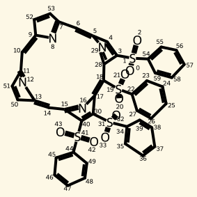 O=S(=O)(C1=CC2=CC3=NC(=CC4=NC(=CC5=NC(=C(S(=O)(=O)c6ccccc6)C1=N2)C(S(=O)(=O)c1ccccc1)=C5S(=O)(=O)c1ccccc1)C=C4)C=C3)c1ccccc1